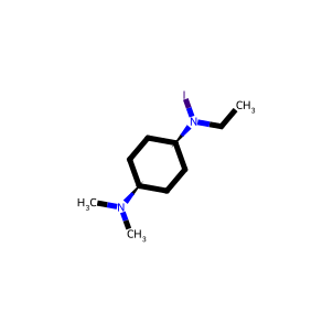 CCN(I)[C@H]1CC[C@@H](N(C)C)CC1